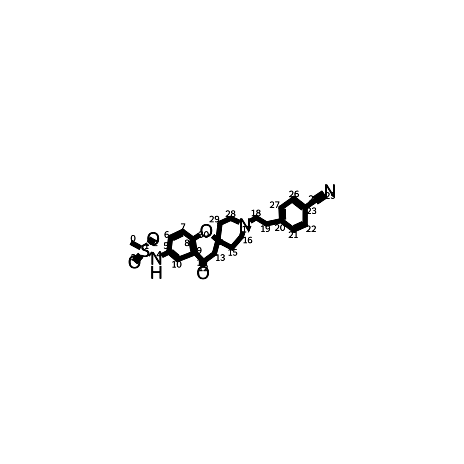 CS(=O)(=O)Nc1ccc2c(c1)C(=O)CC1(CCN(CCc3ccc(C#N)cc3)CC1)O2